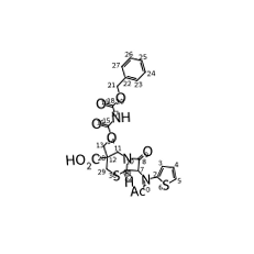 CC(=O)N(c1cccs1)C1C(=O)N2CC(COC(=O)NC(=O)OCc3ccccc3)(C(=O)O)CS[C@H]12